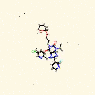 CC(C)n1c(=O)n(CCCOC2CCCCO2)c(=O)c2c1nc(-c1cccnc1F)n2Cc1ccc(Cl)cn1